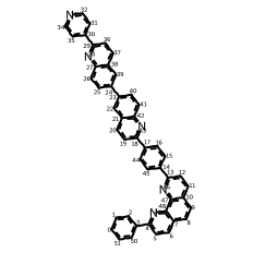 c1ccc(-c2ccc3ccc4ccc(-c5ccc(-c6ccc7cc(-c8ccc9nc(-c%10ccncc%10)ccc9c8)ccc7n6)cc5)nc4c3n2)cc1